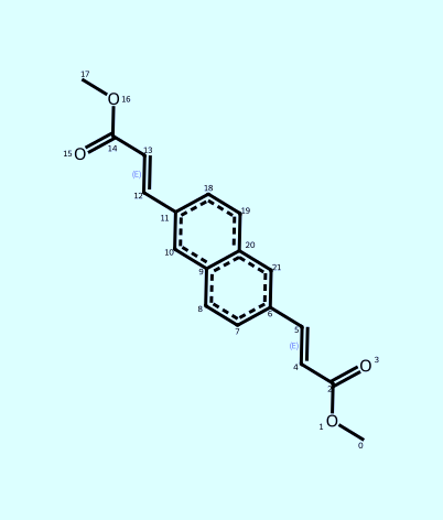 COC(=O)/C=C/c1ccc2cc(/C=C/C(=O)OC)ccc2c1